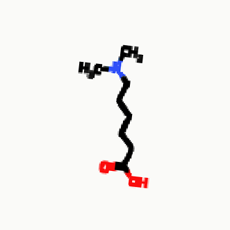 CN(C)CCCCCC(=O)O